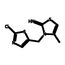 Cc1csc(=N)n1Cc1cnc(Cl)s1